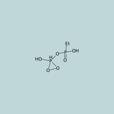 CCP(=O)(O)O[PH]1(O)OO1